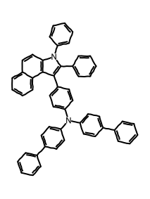 c1ccc(-c2ccc(N(c3ccc(-c4ccccc4)cc3)c3ccc(-c4c(-c5ccccc5)n(-c5ccccc5)c5ccc6ccccc6c45)cc3)cc2)cc1